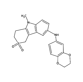 Cn1c2c(c3cc(Nc4ccc5c(c4)OCCO5)ccc31)CS(=O)(=O)CC2